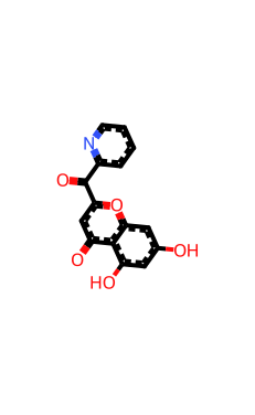 O=C(c1ccccn1)c1cc(=O)c2c(O)cc(O)cc2o1